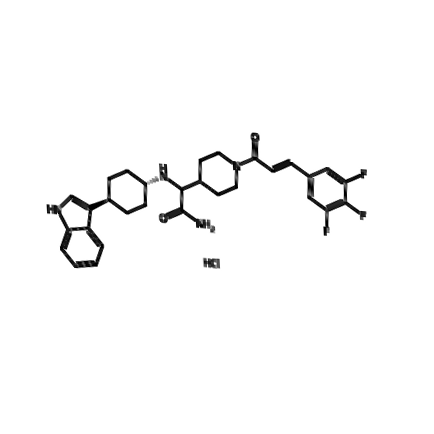 Cl.NC(=O)C(N[C@H]1CC[C@H](c2c[nH]c3ccccc32)CC1)C1CCN(C(=O)C=Cc2cc(F)c(F)c(F)c2)CC1